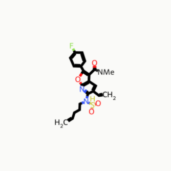 C=CCCCN(c1nc2oc(-c3ccc(F)cc3)c(C(=O)NC)c2cc1C=C)[SH](=O)=O